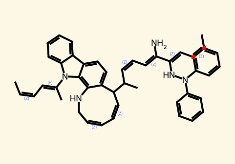 C\C=C/C=C(NN(c1ccccc1)c1ccccc1)/C(N)=C/C=C\C(C)C1/C=C\C=C/CNc2c1ccc1c3ccccc3n(/C(C)=C/C=C\C)c21